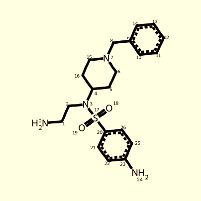 NCCN(C1CCN(Cc2ccccc2)CC1)S(=O)(=O)c1ccc(N)cc1